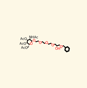 CC(=O)N[C@H]1[C@H](OCCOCCOCCOC[C@@H](O)COCc2ccccc2)O[C@H](COC(C)=O)[C@H](OC(C)=O)[C@@H]1OC(C)=O